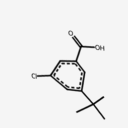 CC(C)(C)c1cc(Cl)cc(C(=O)O)c1